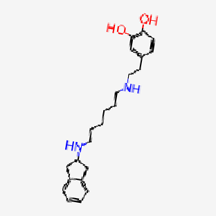 Oc1ccc(CCNCCCCCCNC2Cc3ccccc3C2)cc1O